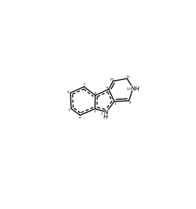 C1=c2[nH]c3ccccc3c2=CCN1